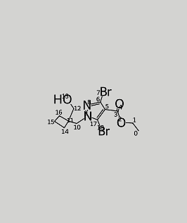 CCOC(=O)c1c(Br)nn(CC2(CO)CCC2)c1Br